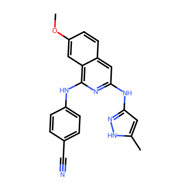 COc1ccc2cc(Nc3cc(C)[nH]n3)nc(Nc3ccc(C#N)cc3)c2c1